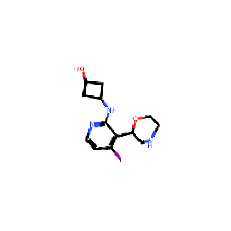 OC1CC(Nc2nccc(I)c2C2CNCCO2)C1